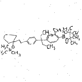 CCC(CC)(c1ccc(CCC2(O[Si](C)(C)C)CCCC2)cc1)c1ccc(B2OC(C)(C)C(C)(C)O2)c(C)c1